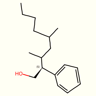 CCCCC(C)CC(C)[C@H](CO)c1ccccc1